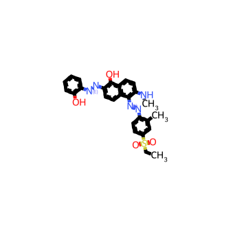 CCS(=O)(=O)c1ccc(/N=N/c2c(NC)ccc3c(O)c(/N=N/c4ccccc4O)ccc23)c(C)c1